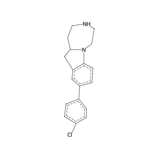 Clc1ccc(-c2ccc3c(c2)CC2CCNCCN32)cc1